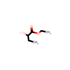 BC(CC)C(=O)OCC